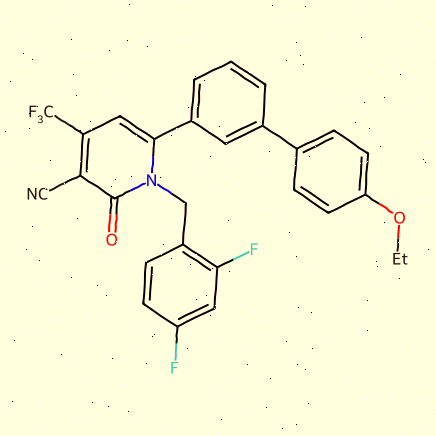 CCOc1ccc(-c2cccc(-c3cc(C(F)(F)F)c(C#N)c(=O)n3Cc3ccc(F)cc3F)c2)cc1